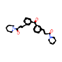 O=C(c1cccc(/C=C/C(=O)N2CCCCC2)c1)c1cccc(/C=C/C(=O)N2CCCCC2)c1